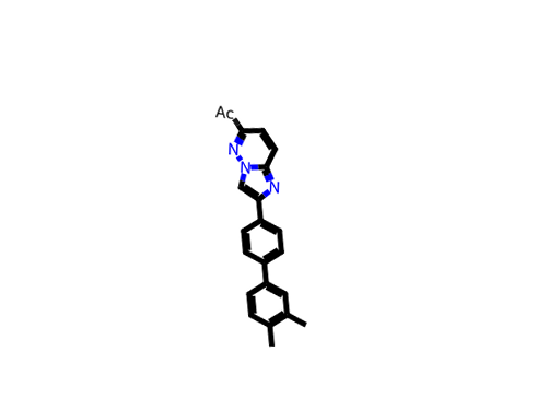 CC(=O)c1ccc2nc(-c3ccc(-c4ccc(C)c(C)c4)cc3)cn2n1